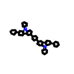 C1=CC(c2ccc3c4cc(-c5ccc(-c6ccc7c(c6)c6ccc(-c8ccccc8)cc6n7-c6ccccc6)cc5)ccc4n(-c4ccccc4)c3c2)=CCC1